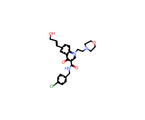 O=C(NCc1ccc(Cl)cc1)c1cn(CCN2CCOCC2)c2ccc(C=CCO)cc2c1=O